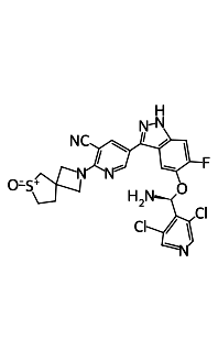 N#Cc1cc(-c2n[nH]c3cc(F)c(O[C@H](N)c4c(Cl)cncc4Cl)cc23)cnc1N1CC2(CC[S+]([O-])C2)C1